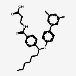 CCCCCCC(Sc1ccc(-c2cc(C)cc(C)c2)cc1)c1ccc(C(=O)NCCC(=O)O)cc1